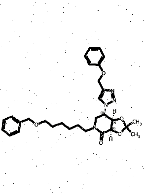 CC1(C)O[C@H]2[C@@H](O1)C(=O)N(CCCCCCOCc1ccccc1)C[C@@H]2n1cc(COc2ccccc2)nn1